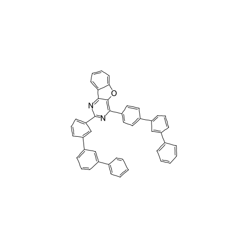 c1ccc(-c2cccc(-c3ccc(-c4nc(-c5cccc(-c6cccc(-c7ccccc7)c6)c5)nc5c4oc4ccccc45)cc3)c2)cc1